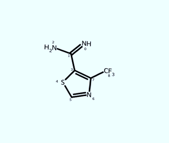 N=C(N)c1scnc1C(F)(F)F